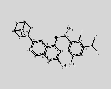 Cc1nc(N[C@H](C)c2cc(N)cc(C(F)F)c2F)c2cc(N3CC4CC(C3)N4C)ncc2n1